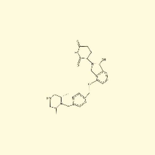 CC1CNC[C@H](C)N1Cc1ccc(COc2cccc3c2CN(C2CCC(=O)NC2=O)C3O)cc1